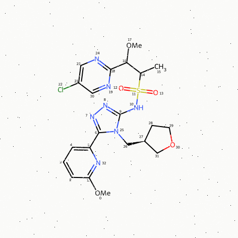 COc1cccc(-c2nnc(NS(=O)(=O)C(C)C(OC)c3ncc(Cl)cn3)n2C[C@H]2CCOC2)n1